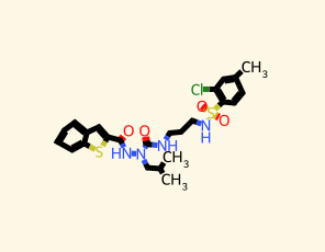 Cc1ccc(S(=O)(=O)NCCCNC(=O)N(CC(C)C)NC(=O)c2cc3ccccc3s2)c(Cl)c1